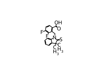 CC1(C)C(=S)N(Cc2c(C(=O)O)ccc(F)c2F)c2ccccc21